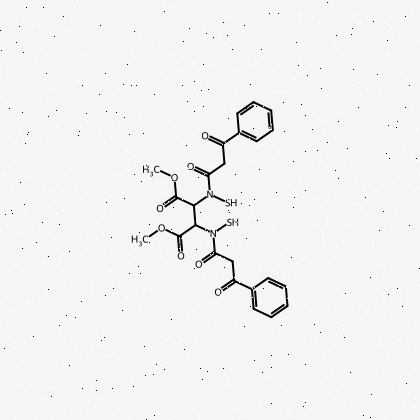 COC(=O)C(C(C(=O)OC)N(S)C(=O)CC(=O)c1ccccc1)N(S)C(=O)CC(=O)c1ccccc1